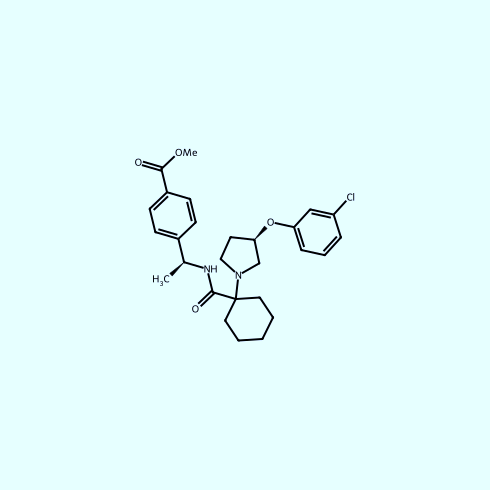 COC(=O)c1ccc([C@H](C)NC(=O)C2(N3CC[C@@H](Oc4cccc(Cl)c4)C3)CCCCC2)cc1